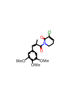 COc1cc(C=C(C)C(=O)N2CCC=C(Cl)C2=O)cc(OC)c1OC